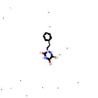 O=c1[nH]c(=O)n(CCc2ccccc2)nc1Br